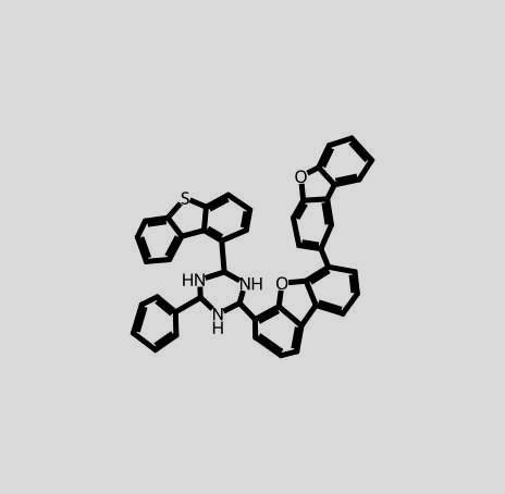 c1ccc(C2NC(c3cccc4c3oc3c(-c5ccc6oc7ccccc7c6c5)cccc34)NC(c3cccc4sc5ccccc5c34)N2)cc1